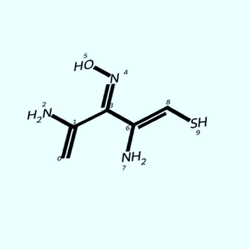 C=C(N)C(=N\O)/C(N)=C/S